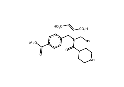 COC(=O)c1ccc(CN(CC(C)C)C(=O)C2CCNCC2)cc1.O=C(O)C=CC(=O)O